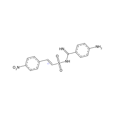 N=C(NS(=O)(=O)/C=C/c1ccc([N+](=O)[O-])cc1)c1ccc(N)cc1